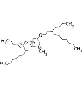 CCCCCCCC(CCCC)CCOC1C[C@@H](C)N(CC(CCCCCC)CCCCCC)[C@@H](C)C1